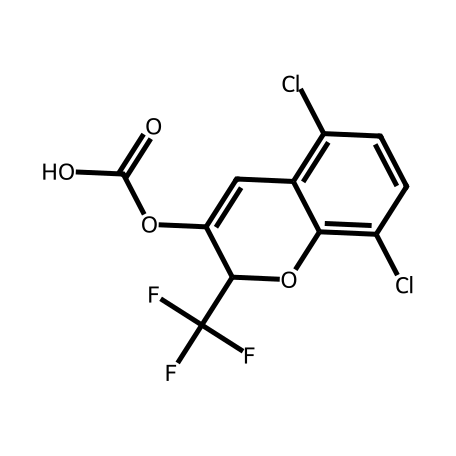 O=C(O)OC1=Cc2c(Cl)ccc(Cl)c2OC1C(F)(F)F